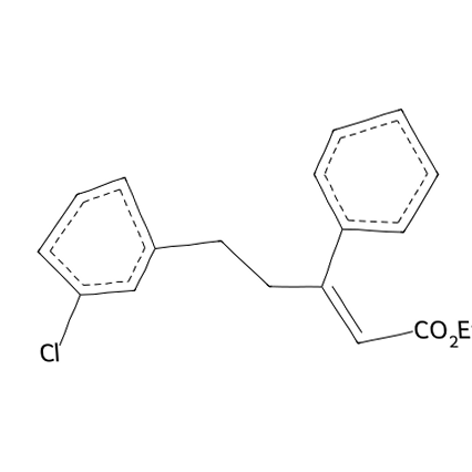 CCOC(=O)C=C(CCc1cccc(Cl)c1)c1ccccc1